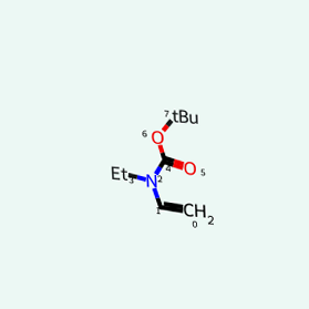 C=CN(CC)C(=O)OC(C)(C)C